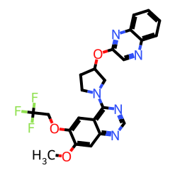 COc1cc2ncnc(N3CCC(Oc4cnc5ccccc5n4)C3)c2cc1OCC(F)(F)F